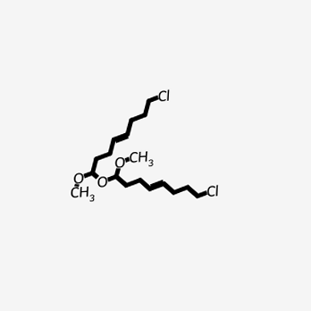 COC(CCC=CCCCCl)OC(CCC=CCCCCl)OC